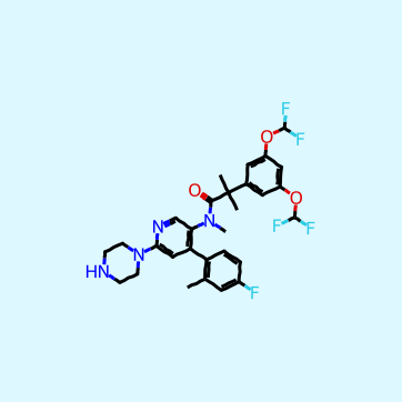 Cc1cc(F)ccc1-c1cc(N2CCNCC2)ncc1N(C)C(=O)C(C)(C)c1cc(OC(F)F)cc(OC(F)F)c1